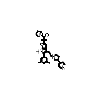 Cc1cc(C)cc(-c2[nH]c3sc(C(C)(C)C(=O)N4CCCC4)cc3c2CCN2CCC(c3ccncc3)C2)c1